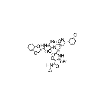 CCC[C@H](NC(=O)[C@@H]1C[C@]2(CC(c3cccc(Cl)c3)=NO2)CN1C(=O)[C@@H](NC(=O)[C@H]1COc2ccccc2O1)C(C)(C)C)C(=O)C(=O)NC1CC1